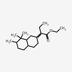 CCOC(=O)/C(CC)=C1\CCC2CCC(C)C(C)(C)C2C1